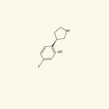 Cl.Fc1ccc([C@H]2CCNC2)cc1